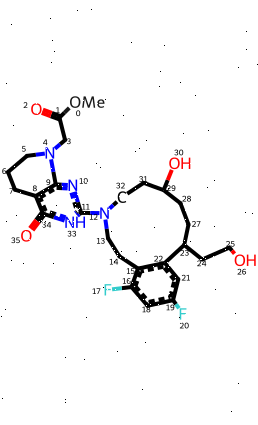 COC(=O)CN1CCCc2c1nc(N1CCc3c(F)cc(F)cc3C(CCO)CCC(O)CC1)[nH]c2=O